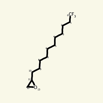 FC(F)(F)CCCCCCCCCCC1CO1